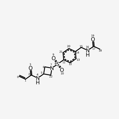 C=CC(=O)NC1CN(S(=O)(=O)c2ccc(CNC(C)=O)cc2)C1